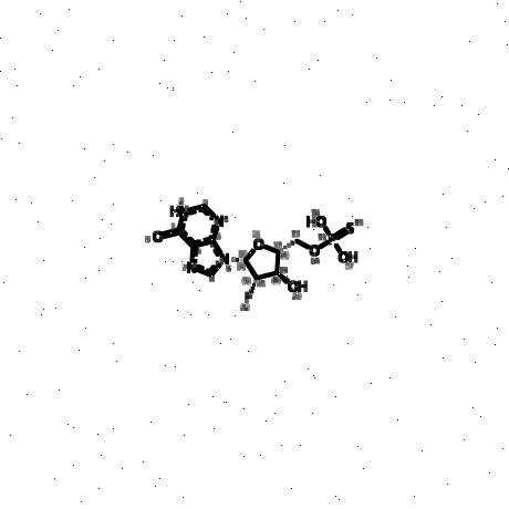 O=c1[nH]cnc2c1ncn2[C@@H]1O[C@H](COP(O)(O)=S)[C@@H](O)[C@@H]1F